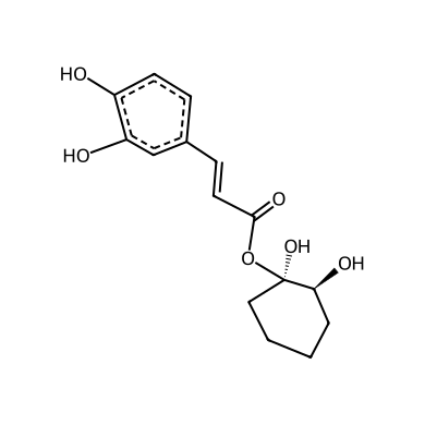 O=C(C=Cc1ccc(O)c(O)c1)O[C@]1(O)CCCC[C@@H]1O